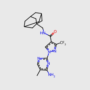 Cc1cnc(-n2cc(C(=O)NCC34CC5CC(CC(C5)C3)C4)c(C(F)(F)F)n2)nc1N